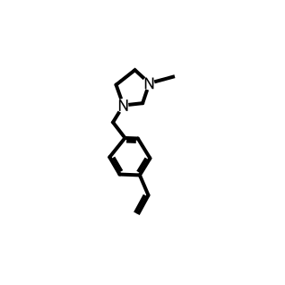 C=Cc1ccc(CN2CCN(C)C2)cc1